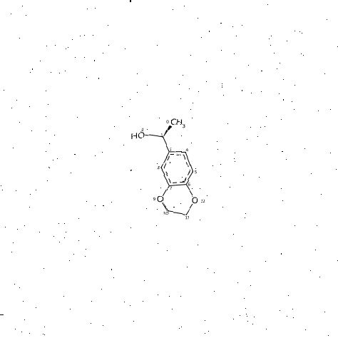 C[C@H](O)c1ccc2c(c1)OCCO2